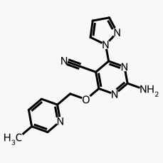 Cc1ccc(COc2nc(N)nc(-n3cccn3)c2C#N)nc1